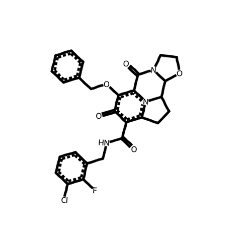 O=C(NCc1cccc(Cl)c1F)c1c2n3c(c(OCc4ccccc4)c1=O)C(=O)N1CCOC1C3CC2